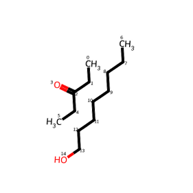 CCC(=O)CC.CCCCCCCCO